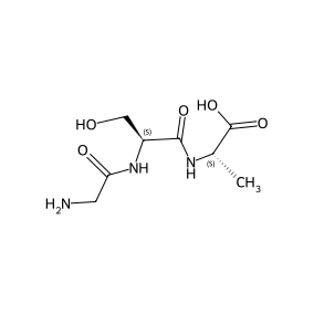 C[C@H](NC(=O)[C@H](CO)NC(=O)CN)C(=O)O